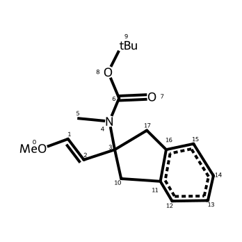 CO/C=C/C1(N(C)C(=O)OC(C)(C)C)Cc2ccccc2C1